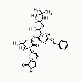 CC(C)C[C@H](NC(=O)[C@@H](NC(=O)OCc1ccccc1)C(C)OC(=O)NC(C)(C)C)C(=O)N[C@H](C=O)C[C@@H]1CCNC1=O